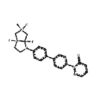 C[N@+]1([O-])C[C@H]2CCN(c3ccc(-c4ccc(-n5ncccc5=O)nc4)cc3)[C@H]2C1